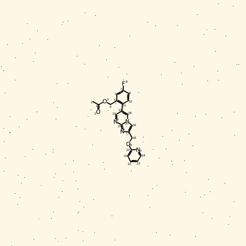 CC(=O)OCc1cc(F)ccc1-c1cnc2nc(COc3ccccn3)cn2c1